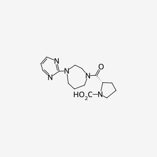 O=C([C@@H]1CCCN1C(=O)O)N1CCCN(c2ncccn2)CC1